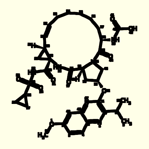 COc1ccc2nc(C(C)C)c(O[C@@H]3C[C@H]4C(=O)N[C@]5(C(=O)NS(=O)(=O)C6CC6)C[C@H]5/C=C\CCCCC[C@H](NC(=O)O)C(=O)N4C3)nc2c1